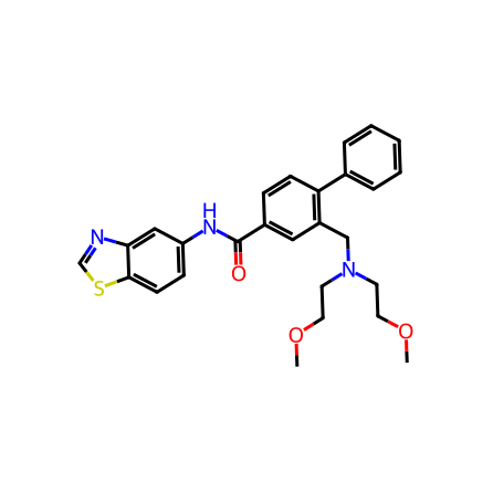 COCCN(CCOC)Cc1cc(C(=O)Nc2ccc3scnc3c2)ccc1-c1ccccc1